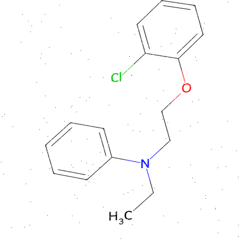 CCN(CCOc1ccccc1Cl)c1ccccc1